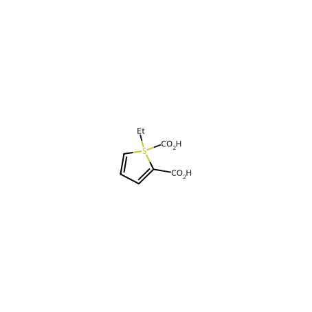 CCS1(C(=O)O)C=CC=C1C(=O)O